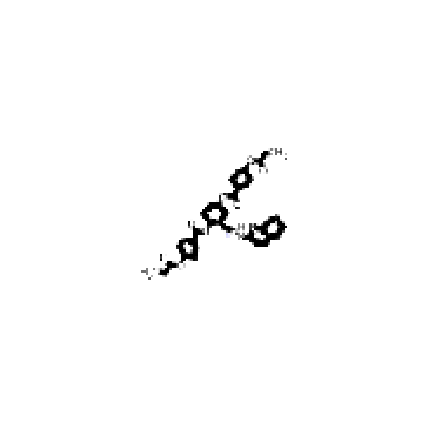 C=CC(=O)Oc1ccc(C(=O)Oc2ccc(OC(=O)c3ccc(OC(=O)C=C)cc3)c(/C=N/Nc3c#cc4ccccc4n3)c2)cc1